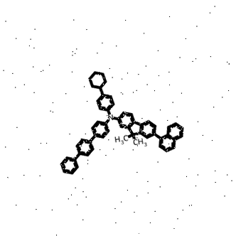 CC1(C)c2cc(-c3cccc4ccccc34)ccc2-c2ccc(N(c3ccc(-c4ccc(-c5ccccc5)cc4)cc3)c3ccc(C4CCCCC4)cc3)cc21